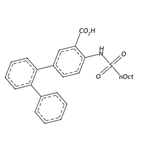 CCCCCCCCS(=O)(=O)Nc1ccc(-c2ccccc2-c2ccccc2)cc1C(=O)O